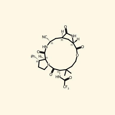 CC(C)[C@H]1CCN2C(=O)[C@@H](NC(=O)C(F)(F)F)C(C)(C)CCOC(=O)[C@@H]3C[C@@H](C[C@@H](C#N)NC(=O)[C@H]12)C(=O)N3